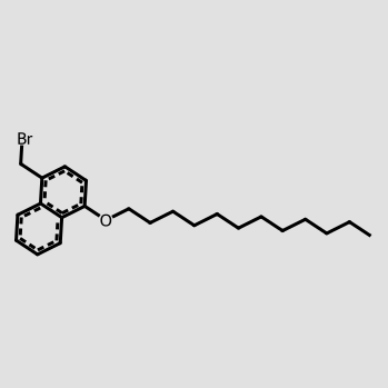 CCCCCCCCCCCCOc1ccc(CBr)c2ccccc12